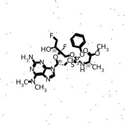 CC[C@@H](O[C@](F)(COP(=S)(N[C@@H](C)C(=O)OC)Oc1ccccc1)[C@@H](O)CF)n1cnc2c(N(C)C)nc(N)nc21